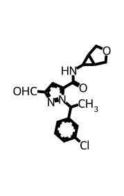 CC(c1cccc(Cl)c1)n1nc(C=O)cc1C(=O)NC1C2COCC21